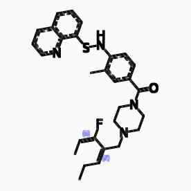 C/C=C(F)\C(=C/CC)CN1CCN(C(=O)c2ccc(NSc3cccc4cccnc34)c(C)c2)CC1